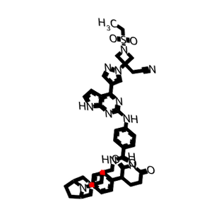 CCS(=O)(=O)N1CC(CC#N)(n2cc(-c3nc(Nc4ccc(C(=O)NCCCN5CC6CCC(C5)N6c5ccc(C6CCC(=O)NC6=O)cc5)cc4)nc4[nH]ccc34)cn2)C1